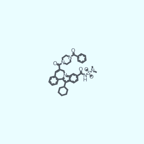 CN(C)S(=O)(=O)NC(=O)c1ccc2c(C3CCCCC3)c3n(c2c1)CC(C(=O)N1CCN(C(=O)c2ccccc2)CC1)=Cc1ccccc1-3